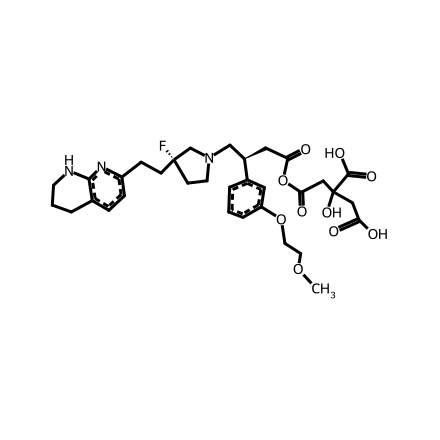 COCCOc1cccc([C@H](CC(=O)OC(=O)CC(O)(CC(=O)O)C(=O)O)CN2CC[C@@](F)(CCc3ccc4c(n3)NCCC4)C2)c1